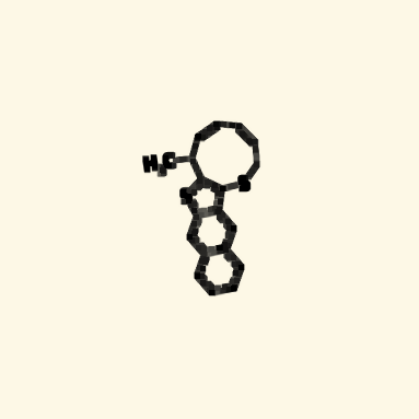 CC1/C=C\C=C/CSc2c1sc1cc3ccccc3cc21